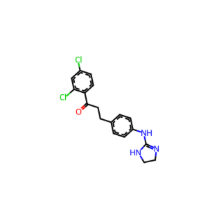 O=C(CCc1ccc(NC2=NCCN2)cc1)c1ccc(Cl)cc1Cl